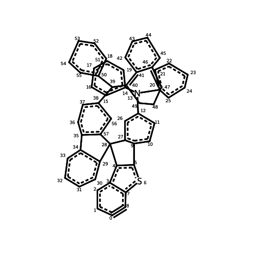 c1ccc2c3c(sc2c#1)-c1ccc(N(c2ccccc2)c2ccccc2)cc1C31c2ccccc2-c2ccc(C(C3=c4ccccc4=CCC3)c3ccccc3)cc21